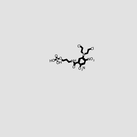 O=C(NCCCOP(=O)(O)O)c1cc(N(CCCl)CCCl)c([N+](=O)[O-])cc1[N+](=O)[O-]